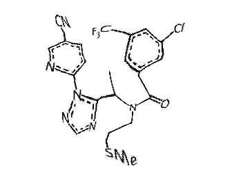 CSCCN(C(=O)c1cc(Cl)cc(C(F)(F)F)c1)C(C)c1ncnn1-c1ccc(C#N)cn1